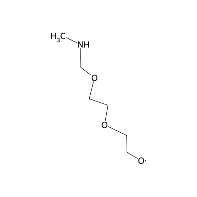 CNCOCCOCC[O]